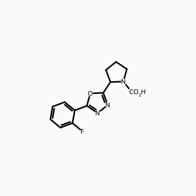 O=C(O)N1CCCC1c1nnc(-c2ccccc2F)o1